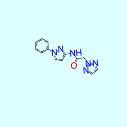 O=C(Cn1nccn1)Nc1ccn(-c2ccccc2)n1